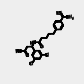 N=C(N)c1ccc(CCCCC(=O)NC(CC(=O)O)c2cc(Cl)cc(Cl)c2)cc1